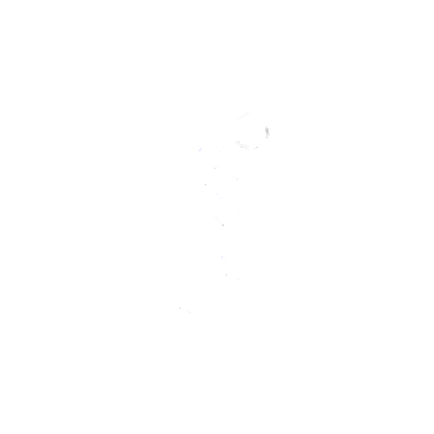 O=C1CCC(C(=O)N2CCC(O)(Cn3cnc4c(cnn4-c4ccccc4)c3=O)CC2)CC1